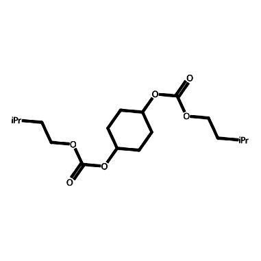 CC(C)CCOC(=O)OC1CCC(OC(=O)OCCC(C)C)CC1